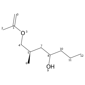 C=C(C)OC[C@H](C)CC(O)CCC